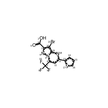 O=C(O)c1nn2c(C(F)(F)F)cc(-c3cccs3)nc2c1Br